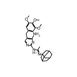 COc1cc(Cc2cnc(N/C(C)=N/C34CC5CC(CC(C5)C3)C4)nc2N)cc(OC)c1OC